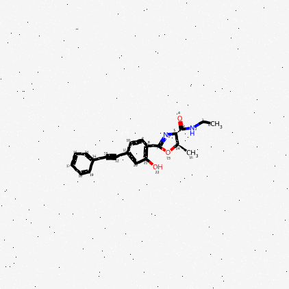 CCNC(=O)[C@H]1N=C(c2ccc(C#Cc3ccccc3)cc2O)O[C@@H]1C